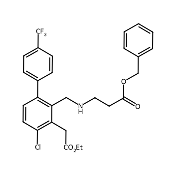 CCOC(=O)Cc1c(Cl)ccc(-c2ccc(C(F)(F)F)cc2)c1CNCCC(=O)OCc1ccccc1